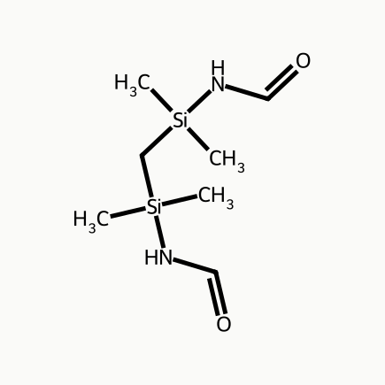 C[Si](C)(C[Si](C)(C)NC=O)NC=O